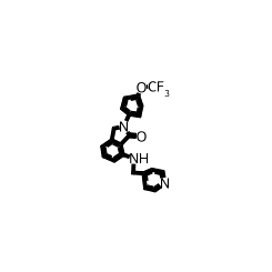 O=C1c2c(cccc2NCc2ccncc2)CN1c1ccc(OC(F)(F)F)cc1